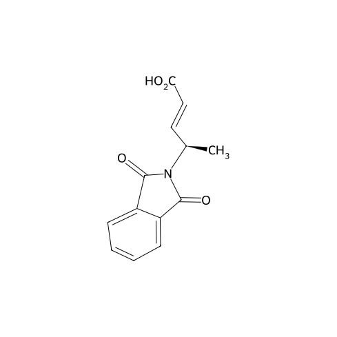 C[C@H](C=CC(=O)O)N1C(=O)c2ccccc2C1=O